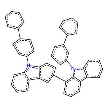 c1ccc(-c2ccc(-n3c4ccccc4c4cc(-c5cccc6c7ccccc7n(-c7cccc(-c8ccccc8)c7)c56)ccc43)cc2)cc1